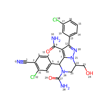 N#Cc1ccc(C2c3c(C(N)=O)c(-c4cccc(Cl)c4)nn3C(CO)CN2C(N)=O)cc1Cl